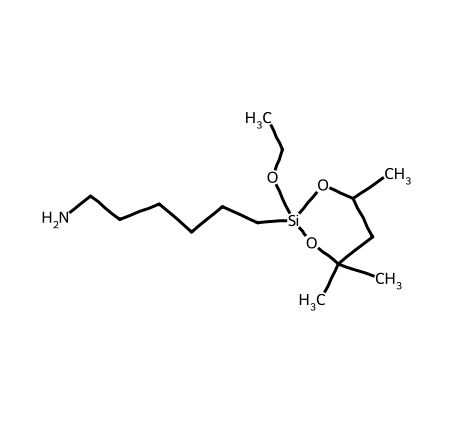 CCO[Si]1(CCCCCCN)OC(C)CC(C)(C)O1